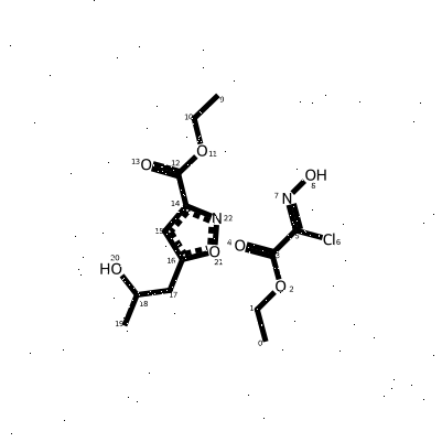 CCOC(=O)/C(Cl)=N/O.CCOC(=O)c1cc(CC(C)O)on1